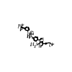 CN(C)CC#Cc1cnc(N)c2c(-c3ccc(NC(=O)Nc4cccc(C(F)(F)F)c4)cc3)csc12